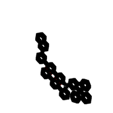 c1ccc(-c2ccc(-c3ccccc3N(c3ccc(-c4ccc(-c5cccc(-c6ccc7ccccc7c6)c5)cc4)cc3)c3ccc4c(c3)C(c3ccccc3)(c3ccccc3)c3ccccc3-4)cc2)cc1